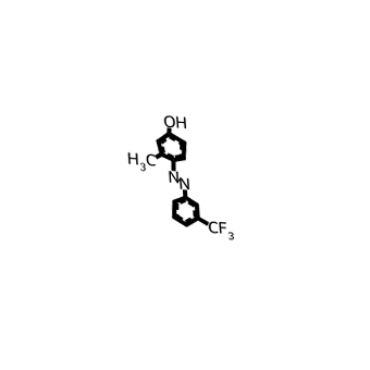 Cc1cc(O)ccc1N=Nc1cccc(C(F)(F)F)c1